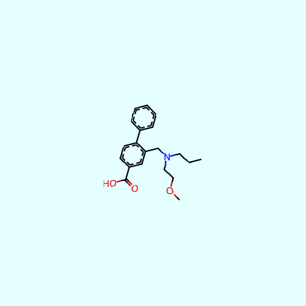 CCCN(CCOC)Cc1cc(C(=O)O)ccc1-c1ccccc1